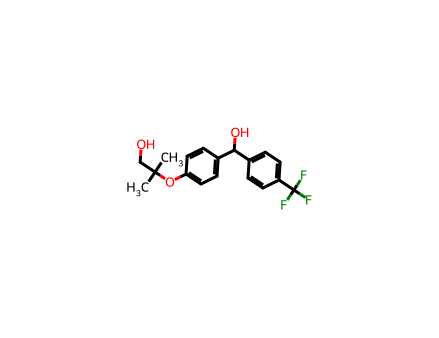 CC(C)(CO)Oc1ccc(C(O)c2ccc(C(F)(F)F)cc2)cc1